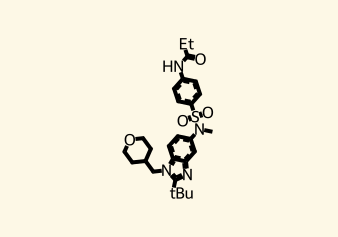 CCC(=O)Nc1ccc(S(=O)(=O)N(C)c2ccc3c(c2)nc(C(C)(C)C)n3CC2CCOCC2)cc1